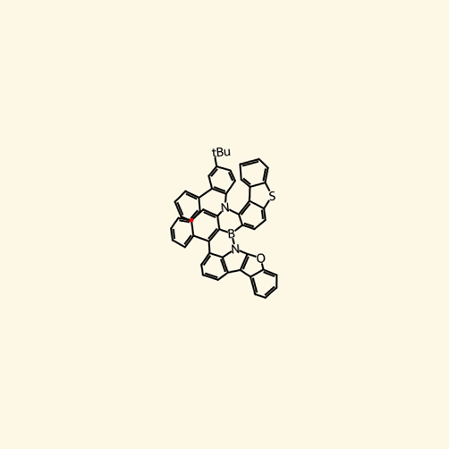 CC(C)(C)c1ccc(N2c3cc4ccccc4c4c3B(c3ccc5sc6ccccc6c5c32)n2c3oc5ccccc5c3c3cccc-4c32)c(-c2ccccc2)c1